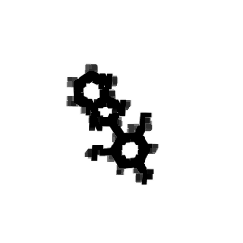 Fc1cc(F)c(-c2nc3ncccn3n2)c(F)c1